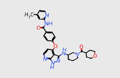 Cc1ccnc(NC(=O)c2ccc(Oc3ccnc4[nH]nc(NC5CCCN(C(=O)C6CCOCC6)C5)c34)cc2)c1